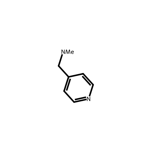 [CH2]NCc1ccncc1